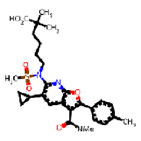 CNC(=O)c1c(-c2ccc(C)cc2)oc2nc(N(CCCCC(C)(C)C(=O)O)S(C)(=O)=O)c(C3CC3)cc12